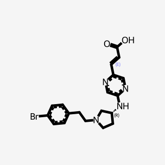 O=C(O)/C=C/c1cnc(N[C@@H]2CCN(CCc3ccc(Br)cc3)C2)cn1